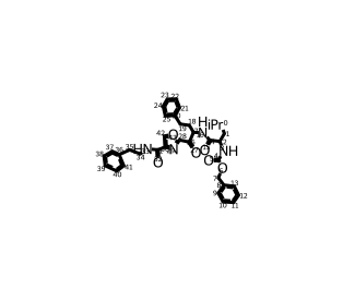 CC(C)CC(NC(=O)OCc1ccccc1)C(=O)NC(CCc1ccccc1)C(=O)c1nc(C(=O)NCCc2ccccc2)co1